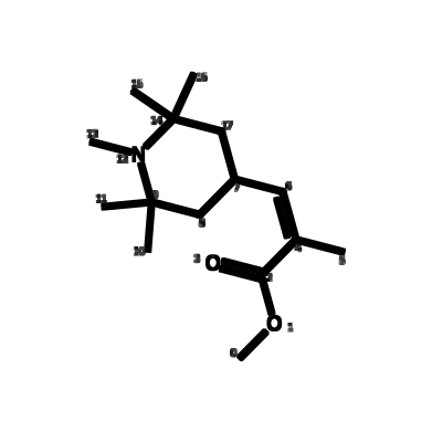 COC(=O)C(C)=CC1CC(C)(C)N(C)C(C)(C)C1